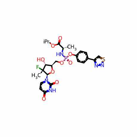 CC(C)OC(=O)[C@H](C)NP(=O)(OC[C@H]1O[C@@H](n2ccc(=O)[nH]c2=O)[C@](C)(F)[C@@H]1O)Oc1ccc(-c2csnn2)cc1